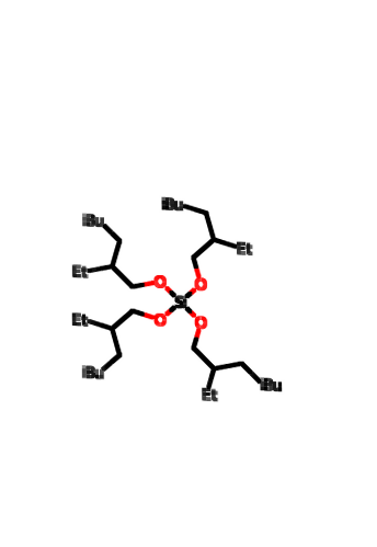 CCC(C)CC(CC)CO[Si](OCC(CC)CC(C)CC)(OCC(CC)CC(C)CC)OCC(CC)CC(C)CC